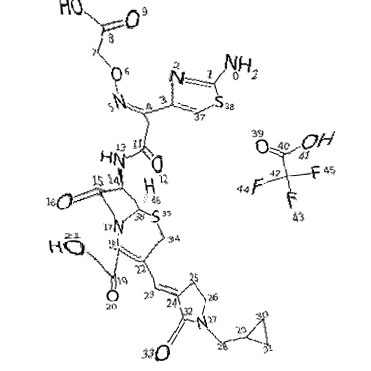 Nc1nc(C(=NOCC(=O)O)C(=O)N[C@@H]2C(=O)N3C(C(=O)O)=C(C=C4CCN(CC5CC5)C4=O)CS[C@H]23)cs1.O=C(O)C(F)(F)F